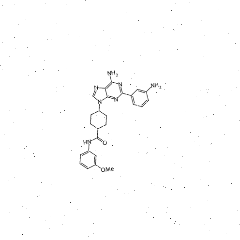 COc1cccc(NC(=O)C2CCC(n3cnc4c(N)nc(-c5cccc(N)c5)nc43)CC2)c1